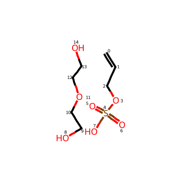 C=CCOS(=O)(=O)O.OCCOCCO